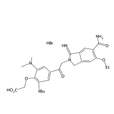 Br.CCOc1cc2c(cc1C(N)=O)C(=N)N(CC(=O)c1cc(N(C)C)c(OCC(=O)O)c(C(C)(C)C)c1)C2